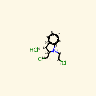 Cl.ClCCN1c2ccccc2CC1CCl